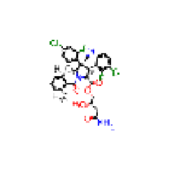 Cc1ccccc1C(=O)N1[C@@H](C)[C@](C#N)(c2ccc(Cl)cc2F)[C@@H](c2cccc(Cl)c2F)[C@@H]1C(=O)OCC(O)CC(N)=O